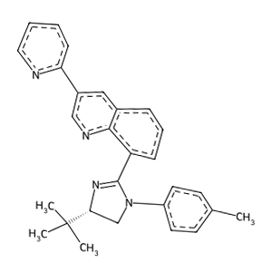 Cc1ccc(N2C[C@H](C(C)(C)C)N=C2c2cccc3cc(-c4ccccn4)cnc23)cc1